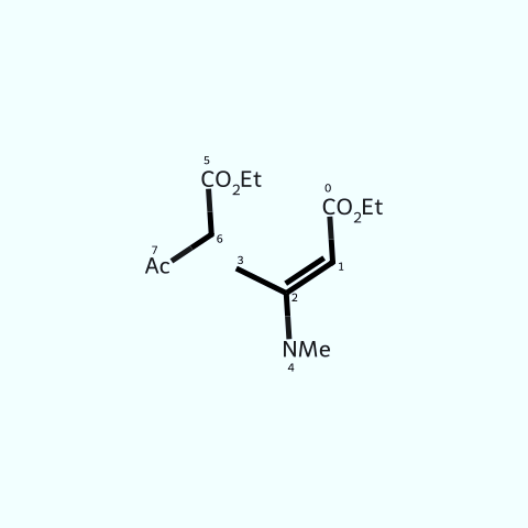 CCOC(=O)C=C(C)NC.CCOC(=O)CC(C)=O